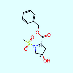 CS(=O)(=O)N1C[C@H](O)C[C@H]1C(=O)OCc1ccccc1